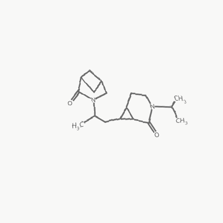 CC(C)N1CCC2C(CC(C)N3CC4CC(C4)C3=O)C2C1=O